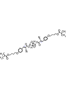 C=C(C)C(=O)OCCCCOc1ccc(/C=C(\C#N)C(=O)O[C@H]2CO[C@H]3[C@@H]2OC[C@H]3OC(=O)/C(C#N)=C/c2ccc(OCCCCOC(=O)C(=C)C)cc2)cc1